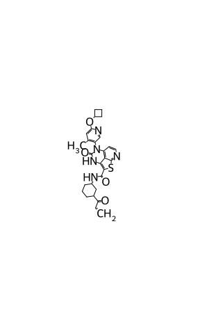 C=CC(=O)C1CCC[C@@H](NC(=O)c2sc3nccc4c3c2NC(=O)N4c2cnc(OC3CCC3)cc2C)C1